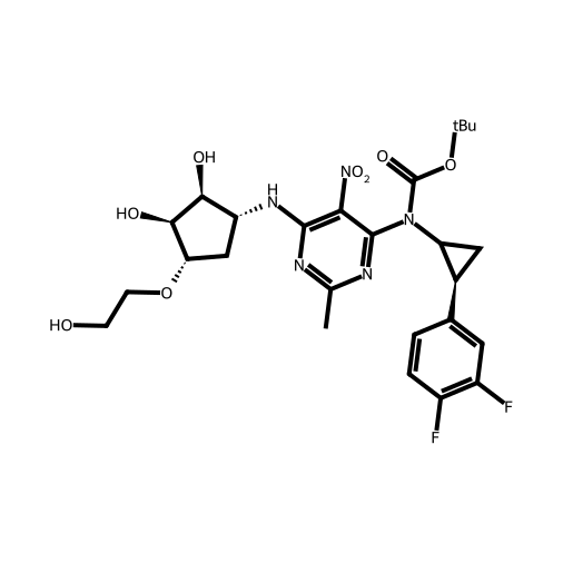 Cc1nc(N[C@@H]2C[C@H](OCCO)[C@@H](O)[C@H]2O)c([N+](=O)[O-])c(N(C(=O)OC(C)(C)C)C2C[C@H]2c2ccc(F)c(F)c2)n1